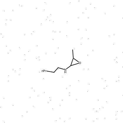 CCCCCNC1OC1C